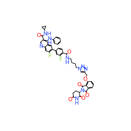 O=C1CCC(N2C(=O)c3cccc(OCc4cn(CCCCNC(=O)c5ccc(-c6cc7c(Nc8ccccc8)c(C(=O)NC8CC8)cnc7cc6F)cc5F)nn4)c3C2=O)C(=O)N1